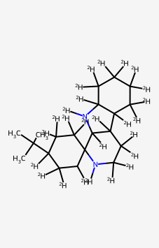 [2H]C1C([2H])([2H])C([2H])(C(C)(C)C)C([2H])([2H])C([2H])([2H])C12N([2H])C([2H])([2H])C([2H])([2H])C1([2H])C2([2H])N([2H])C2([2H])C([2H])([2H])C([2H])([2H])C([2H])([2H])C([2H])([2H])C21[2H]